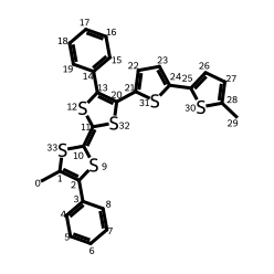 CC1=C(c2ccccc2)S/C(=C2/SC(c3ccccc3)=C(c3ccc(-c4ccc(C)s4)s3)S2)S1